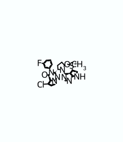 C[S@@+]([O-])c1c[nH]c2ncnc(N3CCC[C@H]3c3nn4ccc(Cl)c4c(=O)n3-c3cccc(F)c3)c12